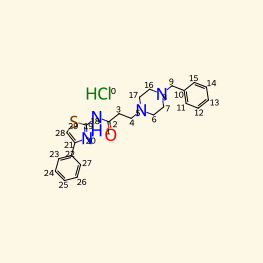 Cl.O=C(CCN1CCN(Cc2ccccc2)CC1)Nc1nc(-c2ccccc2)cs1